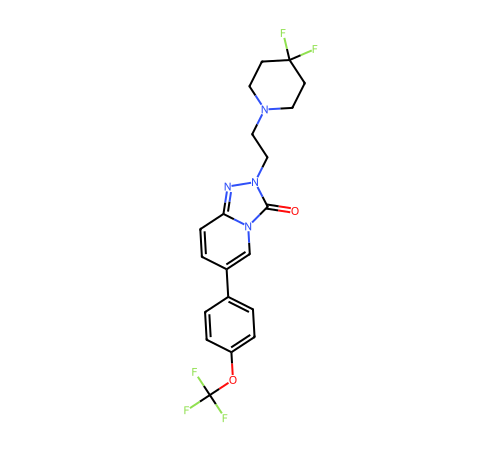 O=c1n(CCN2CCC(F)(F)CC2)nc2ccc(-c3ccc(OC(F)(F)F)cc3)cn12